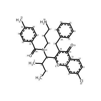 CCC(C)C(c1oc2cc(Cl)ccc2c(=O)c1Cc1ccccc1)N(CCCN)C(=O)c1ccc(C)cc1